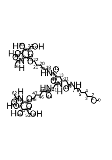 COCCCCCCNC(=O)C[C@H](CCC(=O)NCCCCCO[C@@H]1OC(CO)[C@H](O)[C@H](O)C1NC(C)=O)NC(=O)CNC(=O)CCCCO[C@@H]1OC(CO)[C@H](O)[C@H](O)C1NC(C)=O